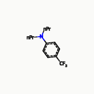 CCCN(CCC)c1ccc(C(F)(F)F)cc1